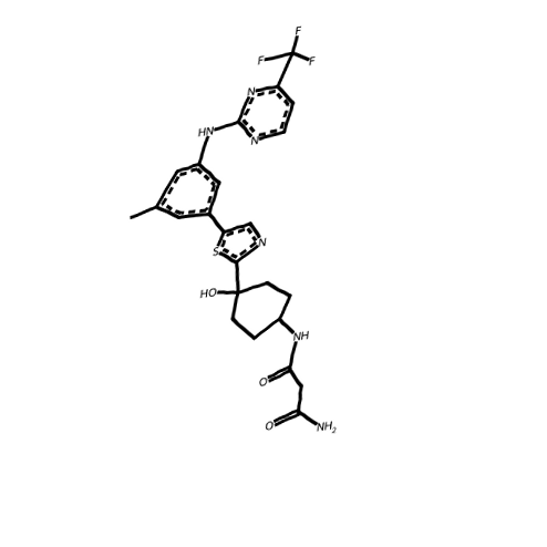 Cc1cc(Nc2nccc(C(F)(F)F)n2)cc(-c2cnc(C3(O)CCC(NC(=O)CC(N)=O)CC3)s2)c1